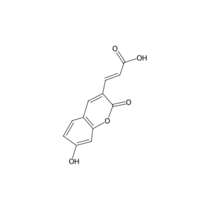 O=C(O)C=Cc1cc2ccc(O)cc2oc1=O